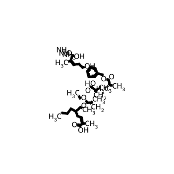 C=C(C)C(=O)O.C=C(C)C(=O)OCC.C=C(C)C(=O)OCc1ccccc1.CC(=CCCO)C(=O)O.CCCCC(CC)CC=C(C)C(=O)O.N.N.N